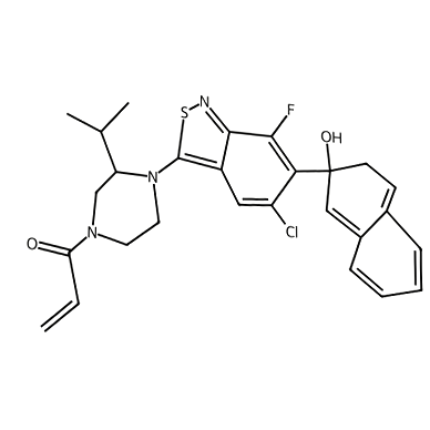 C=CC(=O)N1CCN(c2snc3c(F)c(C4(O)C=c5ccccc5=CC4)c(Cl)cc23)C(C(C)C)C1